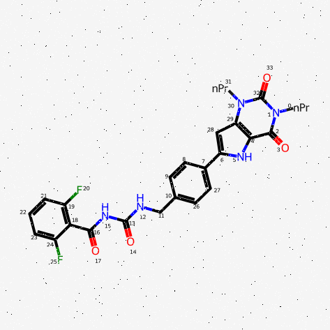 CCCn1c(=O)c2[nH]c(-c3ccc(CNC(=O)NC(=O)c4c(F)cccc4F)cc3)cc2n(CCC)c1=O